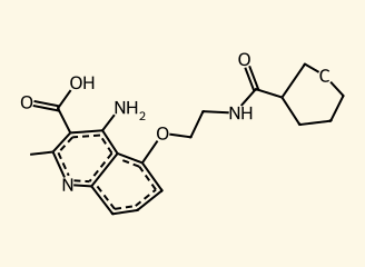 Cc1nc2cccc(OCCNC(=O)C3CCCCC3)c2c(N)c1C(=O)O